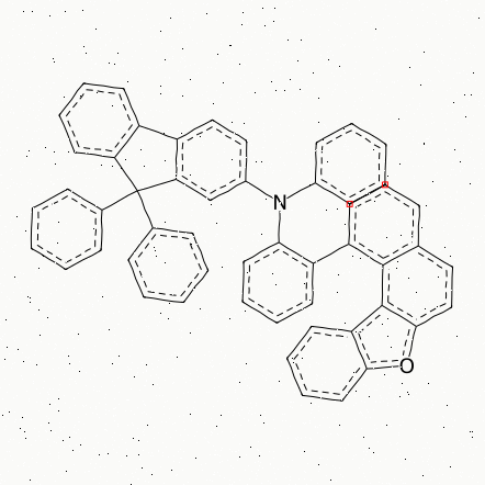 c1ccc(N(c2ccc3c(c2)C(c2ccccc2)(c2ccccc2)c2ccccc2-3)c2ccccc2-c2cccc3ccc4oc5ccccc5c4c23)cc1